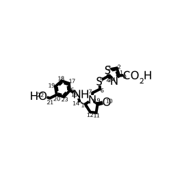 O=C(O)c1csc(SCCN2C(=O)CC[C@@H]2CNc2cccc(CO)c2)n1